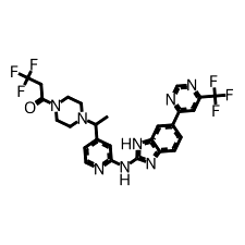 CC(c1ccnc(Nc2nc3ccc(-c4cc(C(F)(F)F)ncn4)cc3[nH]2)c1)N1CCN(C(=O)CC(F)(F)F)CC1